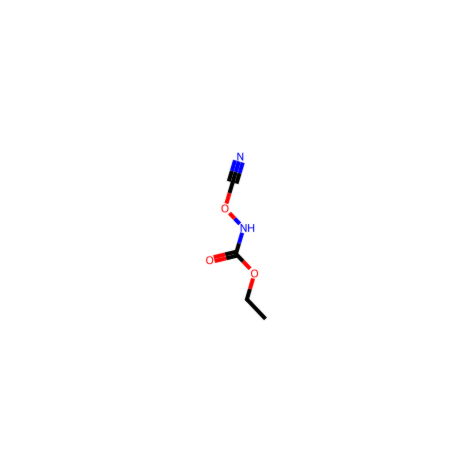 CCOC(=O)NOC#N